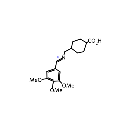 COc1cc(/C=N/CC2CCC(C(=O)O)CC2)cc(OC)c1OC